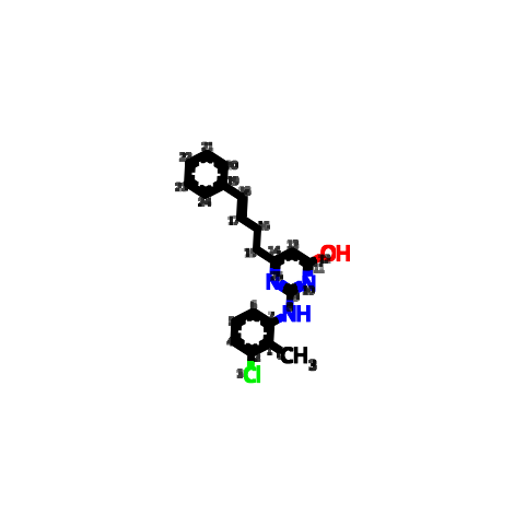 Cc1c(Cl)cccc1Nc1nc(O)cc(CC/C=C/c2ccccc2)n1